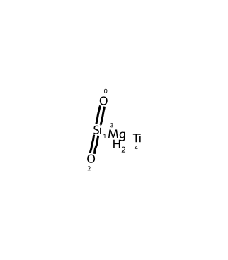 O=[Si]=O.[MgH2].[Ti]